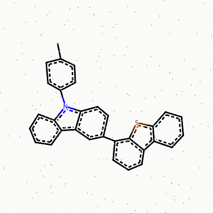 Cc1ccc(-n2c3ccccc3c3cc(-c4cccc5c4sc4ccccc45)ccc32)cc1